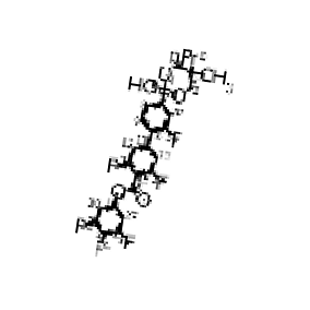 CCCC1(C)COC(O)(c2ccc(-c3cc(F)c(C(=O)Oc4cc(F)c(F)c(F)c4)c(F)c3)c(F)c2)OC1